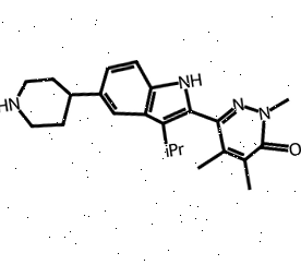 Cc1c(-c2[nH]c3ccc(C4CCNCC4)cc3c2C(C)C)nn(C)c(=O)c1C